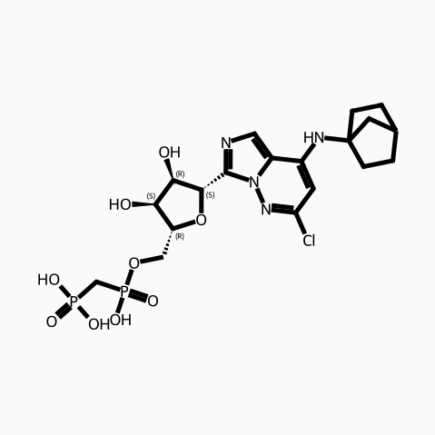 O=P(O)(O)CP(=O)(O)OC[C@H]1O[C@@H](c2ncc3c(NC45CCC(CC4)C5)cc(Cl)nn23)[C@H](O)[C@@H]1O